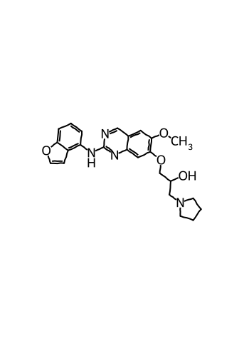 COc1cc2cnc(Nc3cccc4occc34)nc2cc1OCC(O)CN1CCCC1